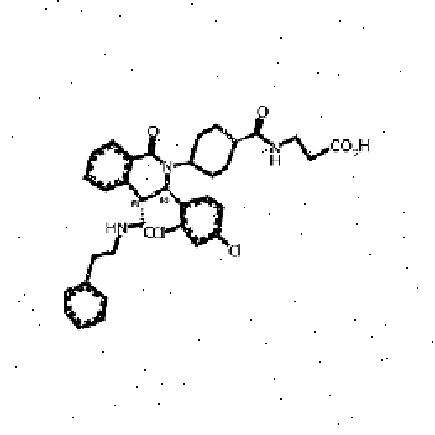 O=C(O)CCNC(=O)[C@H]1CC[C@@H](N2C(=O)c3ccccc3[C@@H](C(=O)NCCc3ccccc3)[C@@H]2c2ccc(Cl)cc2Cl)CC1